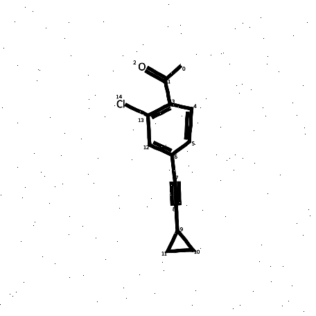 CC(=O)c1ccc(C#CC2CC2)cc1Cl